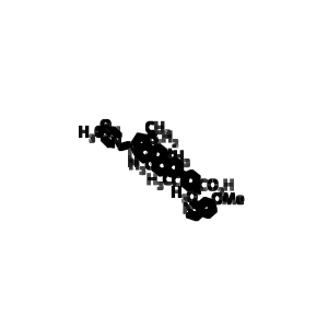 C=C(C)[C@@H]1CC[C@]2(NCCN3CC[SH](C)(=O)CC3)CC[C@]3(C)[C@H](CCC4[C@@]5(C)CC=C(C6=CCC(COc7nccc8ccc(OC)cc78)(C(=O)O)CC6)C(C)(C)C5CC[C@]43C)C12